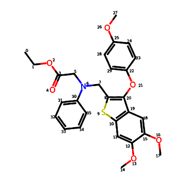 CCOC(=O)CN(Cc1sc2cc(OC)c(OC)cc2c1Oc1ccc(OC)cc1)c1ccccc1